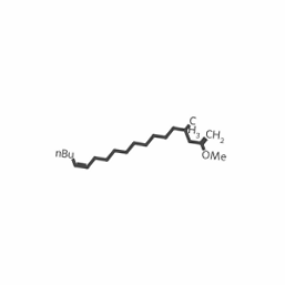 C=C(CC(C)CCCCCCCCC/C=C\CCCC)OC